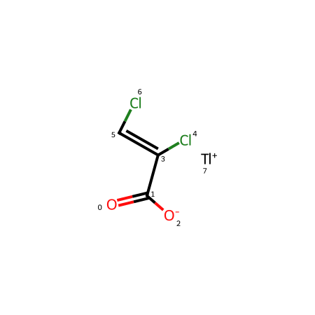 O=C([O-])/C(Cl)=C/Cl.[Tl+]